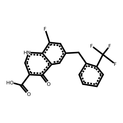 O=C(O)c1c[nH]c2c(F)cc(Cc3ccccc3C(F)(F)F)cc2c1=O